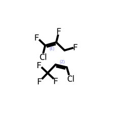 FC(F)(F)/C=C\Cl.FC/C(F)=C(/F)Cl